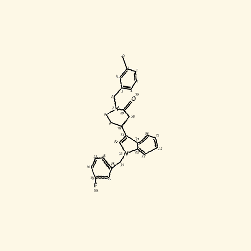 Cc1cccc(CN2CCC(c3cn(Cc4cccc(F)c4)c4ccccc34)CC2=O)c1